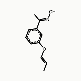 C/C=C/Oc1cccc(/C(C)=N/O)c1